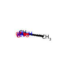 CCCCCCCCCCCCCCCCCCC(=O)Nc1ccc2[nH]c(-c3cc([N+](=O)[O-])cn3C)nc2c1